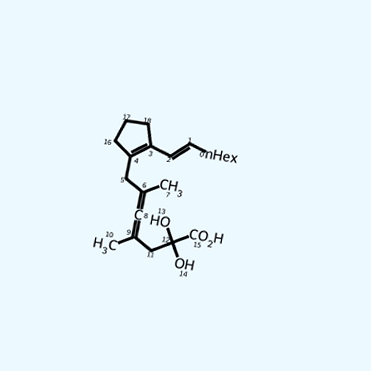 CCCCCC/C=C/C1=C(CC(C)=C=C(C)CC(O)(O)C(=O)O)CCC1